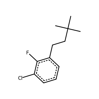 CC(C)(C)CCc1cccc(Cl)c1F